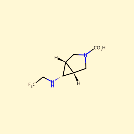 O=C(O)N1C[C@@H]2[C@H](C1)[C@@H]2NCC(F)(F)F